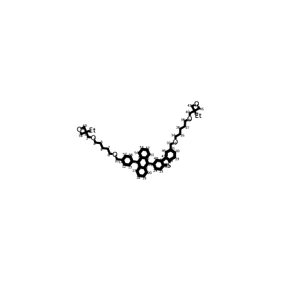 CCC1(COCCCCCOCc2ccc(-c3c4ccccc4c(-c4ccc5sc6ccc(COCCCCCOCC7(CC)COC7)cc6c5c4)c4ccccc34)cc2)COC1